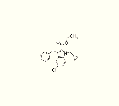 CCOC(=O)c1c(Cc2ccccc2)c2cc(Cl)ccc2n1CC1CC1